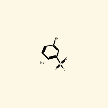 O=S(=O)([O-])c1cccc(S)c1.[Na+]